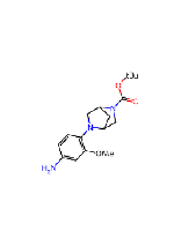 COc1cc(N)ccc1N1CC2CC1CN2C(=O)OC(C)(C)C